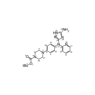 CC(C)(C)OC(=O)N1CCN(c2ccc(N(c3ccccn3)c3n[nH]c(N)n3)cc2)CC1